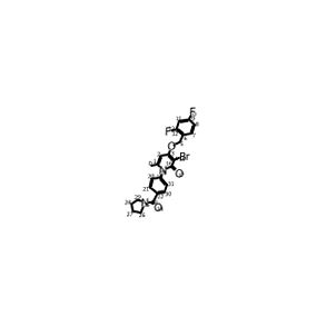 Cc1cc(OCc2ccc(F)cc2F)c(Br)c(=O)n1-c1ccc(C(=O)N2CCCC2)cc1